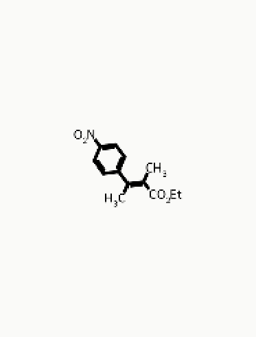 CCOC(=O)C(C)=C(C)c1ccc([N+](=O)[O-])cc1